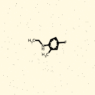 CCNc1ccc(F)cc1C